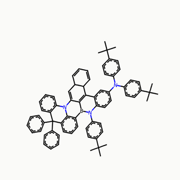 CC(C)(C)c1ccc(N2B3C4=C(c5cc(N(c6ccc(C(C)(C)C)cc6)c6ccc(C(C)(C)C)cc6)ccc52)C2C=CC=CC2C=C4N2c4ccccc4C(c4ccccc4)(c4ccccc4)c4cccc3c42)cc1